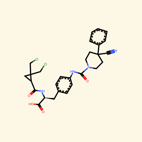 N#CC1(c2ccccc2)CCN(C(=O)Nc2ccc(C[C@H](NC(=O)C3CC3(CCl)CCl)C(=O)O)cc2)CC1